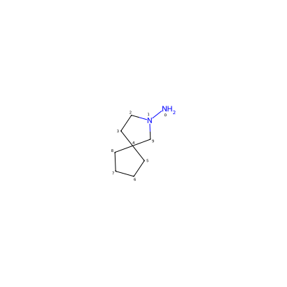 NN1CCC2(CCCC2)C1